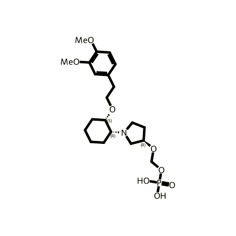 COc1ccc(CCO[C@H]2CCCC[C@H]2N2CC[C@@H](OCOP(=O)(O)O)C2)cc1OC